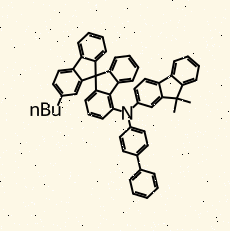 CCCCc1ccc2c(c1)C1(c3ccccc3-2)c2ccccc2-c2c(N(c3ccc(-c4ccccc4)cc3)c3ccc4c(c3)C(C)(C)c3ccccc3-4)cccc21